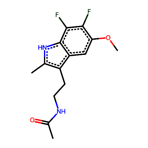 COc1cc2c(CCNC(C)=O)c(C)[nH]c2c(F)c1F